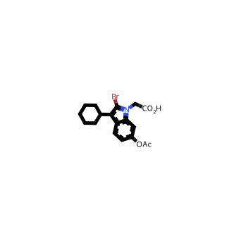 CC(=O)Oc1ccc2c(C3CCCCC3)c(Br)n(CC(=O)O)c2c1